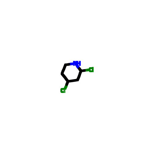 ClC1CCNC(Cl)C1